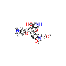 COCCCN1CCOc2ccc(CO[C@H]3CNC[C@@H](O)[C@@H]3c3ccc(Oc4ccc5c(ccn5C)c4)cc3)cc21